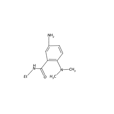 CCNC(=O)c1cc(N)ccc1N(C)C